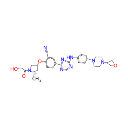 C[C@H]1CC(Oc2ccc(-c3ncnc(Nc4ccc(N5CCN(C6COC6)CC5)cc4)n3)cc2C#N)CN1C(=O)CO